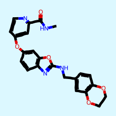 CNC(=O)c1cc(Oc2ccc3nc(NCc4ccc5c(c4)OCCO5)oc3c2)ccn1